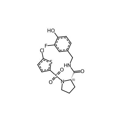 O=C(NCc1ccc(O)c(F)c1)[C@@H]1CCCN1S(=O)(=O)c1ccc(Cl)s1